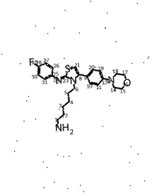 NCCCCCCn1c(-c2ccc(N3CCOCC3)cc2)cs/c1=N\c1ccc(F)cc1